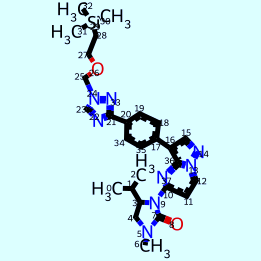 CC(C)C1CN(C)C(=O)N1c1ccn2ncc(-c3ccc(-c4ncn(COCC[Si](C)(C)C)n4)cc3)c2n1